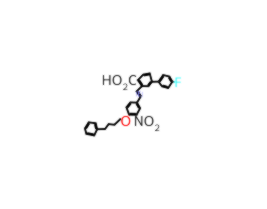 O=C(O)c1ccc(-c2ccc(F)cc2)cc1/C=C/c1ccc(OCCCCc2ccccc2)c([N+](=O)[O-])c1